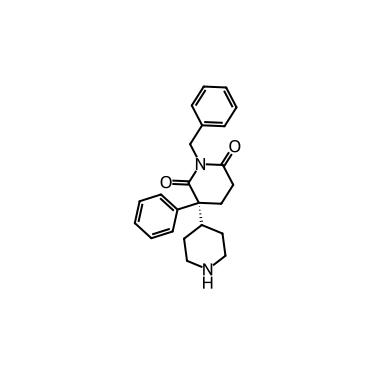 O=C1CC[C@](c2ccccc2)(C2CCNCC2)C(=O)N1Cc1ccccc1